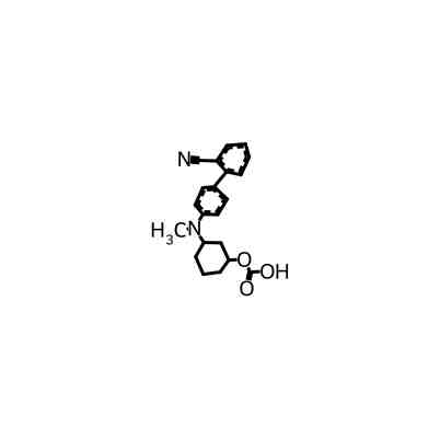 CN(c1ccc(-c2ccccc2C#N)cc1)C1CCCC(OC(=O)O)C1